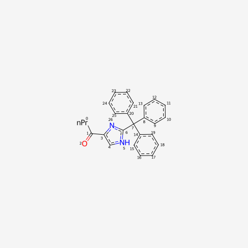 CCCC(=O)c1c[nH]c(C(c2ccccc2)(c2ccccc2)c2ccccc2)n1